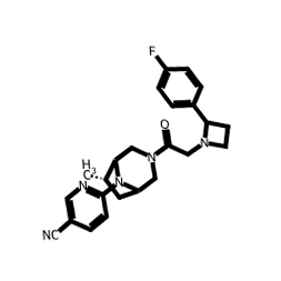 C[C@H]1CC2CN(C(=O)CN3CCC3c3ccc(F)cc3)CC1N2c1ccc(C#N)cn1